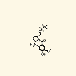 COc1cc(C(=O)N2CCC[C@H]2CO[Si](C)(C)C(C)(C)C)c(N)cc1O